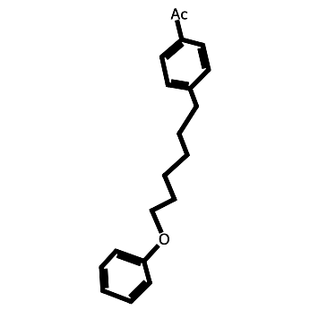 CC(=O)c1ccc(CCCCCCOc2ccccc2)cc1